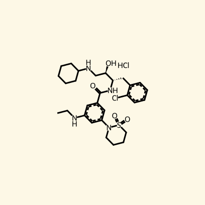 CCNc1cc(C(=O)N[C@@H](Cc2ccccc2Cl)[C@H](O)CNC2CCCCC2)cc(N2CCCCS2(=O)=O)c1.Cl